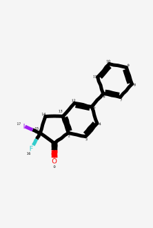 O=C1c2ccc(-c3ccccc3)cc2CC1(F)I